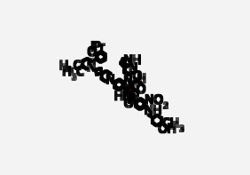 CC(C)Oc1ccccc1[C@@H]1CCC(C)(C)CN1C1CC2(CCN(c3ccc(C(=O)NS(=O)(=O)c4ccc(NCC5CCC(C)(O)CC5)c([N+](=O)[O-])c4)c(N4c5cc6cc[nH]c6nc5O[C@H]5COCC[C@@H]54)c3)CC2)C1